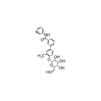 Cc1cc(-c2cccc(C(=O)Nc3cccnc3)c2)ccc1O[C@H]1O[C@H](CO)[C@@H](O)C(O)C1O